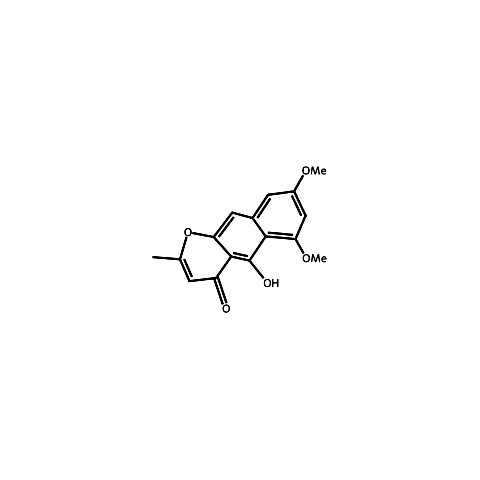 COc1cc(OC)c2c(O)c3c(=O)cc(C)oc3cc2c1